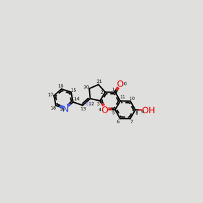 O=c1c2c(oc3ccc(O)cc13)/C(=C/c1ccccn1)CC2